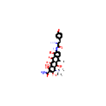 CC1c2ccc(NC(=O)[C@@H](N)Cc3ccc(O)cc3)c(O)c2C(=O)C2=C(O)[C@]3(O)C(=O)C(C(N)=O)=C(O)[C@@H](N(C)C)C3C(O)C21